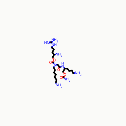 N=C(N)NCCCC(N)COC(=O)N(CCCCCCCN)CC(=O)NC(CCCCN)COC(N)=O